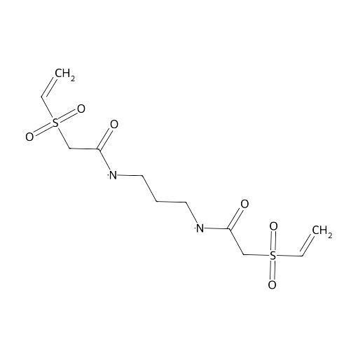 C=CS(=O)(=O)CC(=O)[N]CCC[N]C(=O)CS(=O)(=O)C=C